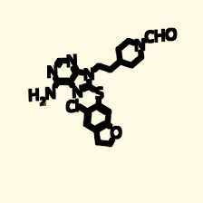 Nc1ncnc2c1nc(Sc1cc3c(cc1Cl)CCO3)n2CCC1CCN(C=O)CC1